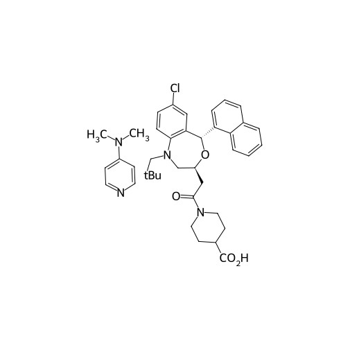 CC(C)(C)CN1C[C@H](CC(=O)N2CCC(C(=O)O)CC2)O[C@@H](c2cccc3ccccc23)c2cc(Cl)ccc21.CN(C)c1ccncc1